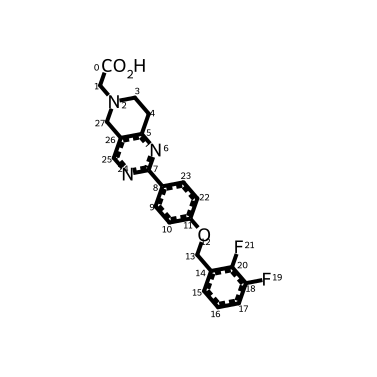 O=C(O)CN1CCc2nc(-c3ccc(OCc4cccc(F)c4F)cc3)ncc2C1